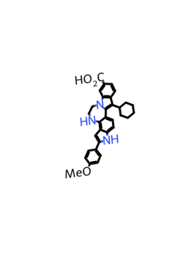 COc1ccc(-c2cc3c4c(ccc3[nH]2)-c2c(C3CCCCC3)c3ccc(C(=O)O)cc3n2CCN4)cc1